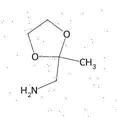 CC1(CN)OCCO1